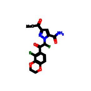 COC(=O)c1cc(C(N)=O)n(C(F)C(=O)c2ccc3c(c2F)OCCO3)n1